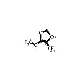 FC(F)(F)OC1=C(C(F)(F)F)OCO1